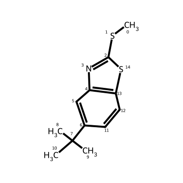 CSc1nc2cc(C(C)(C)C)ccc2s1